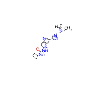 CCN(CC)CCn1cc(-c2cnc3ccc(NC(=O)NC4CCCC4)nc3c2)cn1